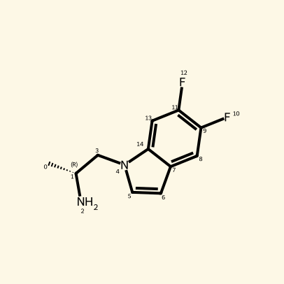 C[C@@H](N)Cn1ccc2cc(F)c(F)cc21